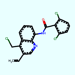 C=Cc1cnc2c(NC(=O)c3c(Cl)cccc3Cl)cccc2c1CCl